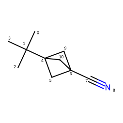 CC(C)(C)C12CC(C#N)(C1)C2